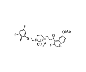 COc1ccc2ncc(F)c(C(=O)CC[C@H]3CCN(CCSc4cc(F)cc(F)c4F)C[C@H]3C(=O)O)c2c1